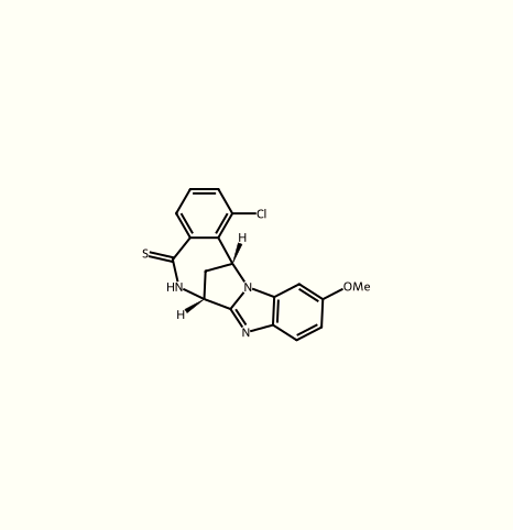 COc1ccc2nc3n(c2c1)[C@@H]1C[C@H]3NC(=S)c2cccc(Cl)c21